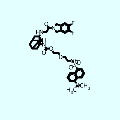 CN(C)c1cccc2c(S(=O)(=O)NCCOCCOC(=O)NC34CC5CC(CC(NCC(=O)N6Cc7cc(F)c(F)cc7C6)(C5)C3)C4)cccc12